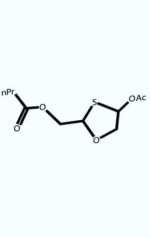 CCCC(=O)OCC1OCC(OC(C)=O)S1